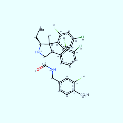 CC(C)(C)C[C@@H]1N[C@@H](C(=O)NCc2ccc(C(=O)O)c(F)c2)C(c2cccc(Cl)c2F)C1(C)c1ccc(Cl)cc1F